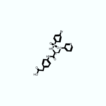 O=C(O)Cc1ccc(NC(=O)[C@H](COc2cccnc2)NS(=O)(=O)c2ccc(Br)cc2)cc1